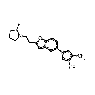 C[C@@H]1CCCN1CCc1cc2cc(-n3cc(C(F)(F)F)c(C(F)(F)F)c3)ccc2o1